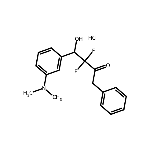 CN(C)c1cccc(C(O)C(F)(F)C(=O)Cc2ccccc2)c1.Cl